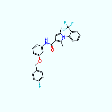 Cc1cc(C(=O)Nc2cccc(OCc3ccc(F)cc3)c2)c(C)n1-c1ccccc1C(F)(F)F